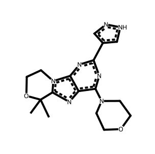 CC1(C)OCCn2c1nc1c(N3CCOCC3)nc(-c3cn[nH]c3)nc12